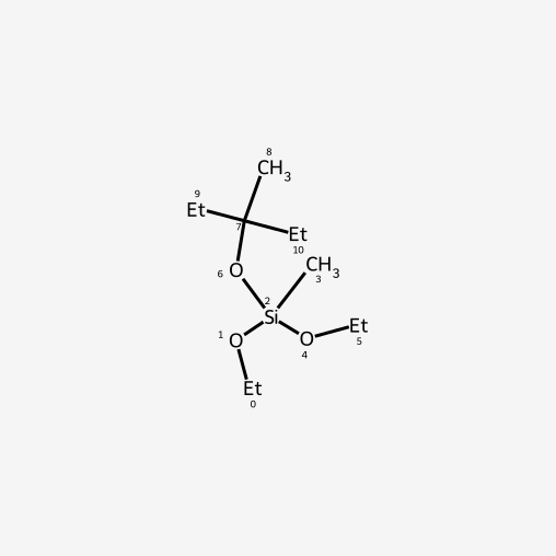 CCO[Si](C)(OCC)OC(C)(CC)CC